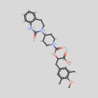 COc1c(C)cc(CC(OC(=O)N2CCC(N3CCc4ccccc4NC3=O)CC2)C(=O)O)cc1C